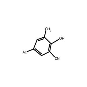 CC(=O)c1cc(C)c(O)c(C#N)c1